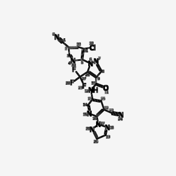 N#Cc1cnc(-n2ncc(C(=O)Nc3cnc(-n4nccn4)c(C#N)c3)c2C(F)(F)F)c(Cl)c1